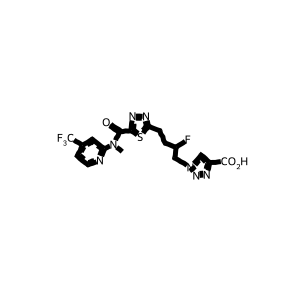 CN(C(=O)c1nnc(CCC(F)Cn2cc(C(=O)O)nn2)s1)c1cc(C(F)(F)F)ccn1